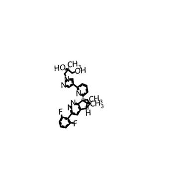 CC1(C)[C@H]2CC[C@]1(c1cccc(-c3cnn(C[C@@](C)(O)CO)c3)n1)c1nnc(-c3c(F)cccc3F)cc12